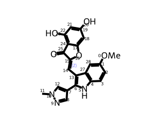 COc1ccc2[nH]c(-c3cnn(C)c3)c(/C=C3\Oc4cc(O)cc(O)c4C3=O)c2c1